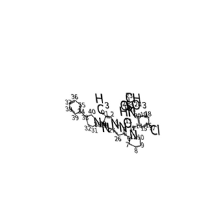 Cc1cn2nc([C@@H]3CCCCN3C(=O)c3cc(Cl)ccc3NS(C)(=O)=O)cc2nc1N1CCC(c2ccccc2)C1